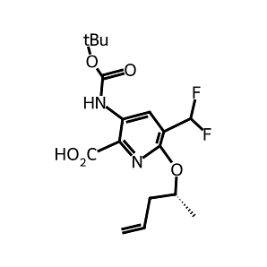 C=CC[C@@H](C)Oc1nc(C(=O)O)c(NC(=O)OC(C)(C)C)cc1C(F)F